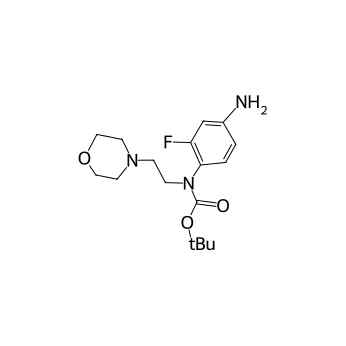 CC(C)(C)OC(=O)N(CCN1CCOCC1)c1ccc(N)cc1F